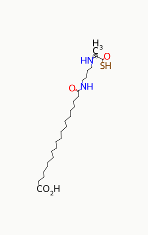 C[C@H](NCCCCNC(=O)CCCCCCCCCCCCCCCCCCC(=O)O)C(=O)S